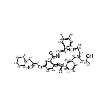 Cc1ccc(C=NNC(=O)c2cc(OCC(O)CN3CCCCC3)ccc2NC(=O)c2cccc(CN(CC(C)O)CC(C)O)c2)cc1C